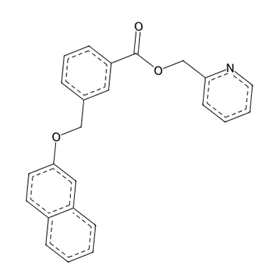 O=C(OCc1ccccn1)c1cccc(COc2ccc3ccccc3c2)c1